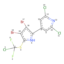 FC(F)(Cl)Sc1[nH]c(-c2cc(Cl)nc(Cl)c2)c(Br)c1Br